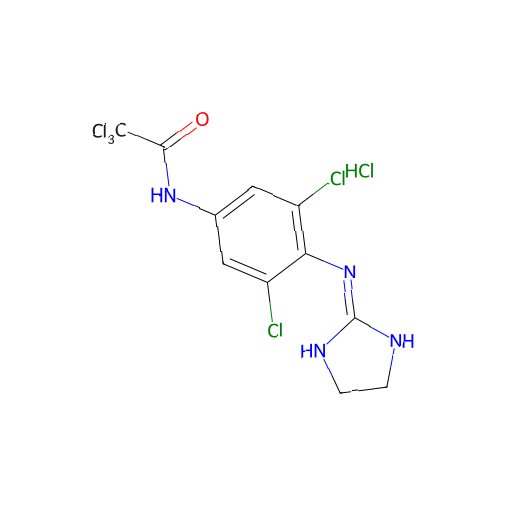 Cl.O=C(Nc1cc(Cl)c(N=C2NCCN2)c(Cl)c1)C(Cl)(Cl)Cl